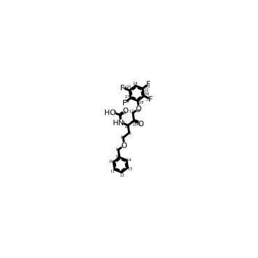 O=C(O)NC(CCOCc1ccccc1)C(=O)COc1c(F)c(F)cc(F)c1F